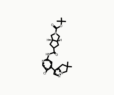 CC1(C)Cc2c(-c3cc(NC(=O)C4C[C@@H]5CN(C(=O)OC(C)(C)C)C[C@@H]5C4)ncc3Cl)cnn2C1